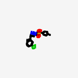 Cc1ccc(S(=O)(=O)NCCc2cccc(Cl)c2)cc1